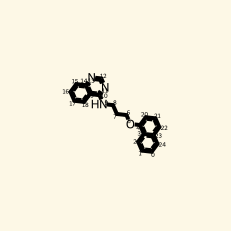 c1ccc2c(OCCCNc3ncnc4ccccc34)cccc2c1